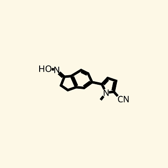 Cn1c(C#N)ccc1-c1ccc2c(c1)CC/C2=N\O